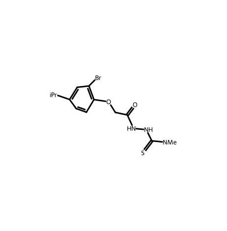 CNC(=S)NNC(=O)COc1ccc(C(C)C)cc1Br